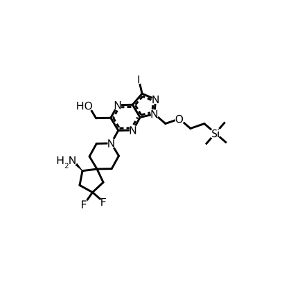 C[Si](C)(C)CCOCn1nc(I)c2nc(CO)c(N3CCC4(CC3)CC(F)(F)C[C@H]4N)nc21